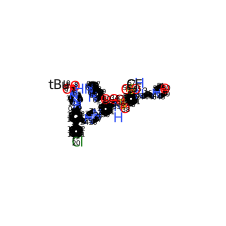 CC1(CN2CCN(C(=O)OC(C)(C)C)CC2)CCC(c2ccc(Cl)cc2)=C(CN2CCN(c3ccc(C(=O)NS(=O)(=O)c4ccc(NCCCN5CCOCC5)c(S(=O)(=O)C(F)(F)F)c4)c(Oc4cnc5[nH]ccc5c4)c3)CC2)C1